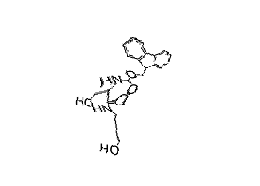 O=C(NC(CO)C(=O)NCCCO)OCC1c2ccccc2-c2ccccc21